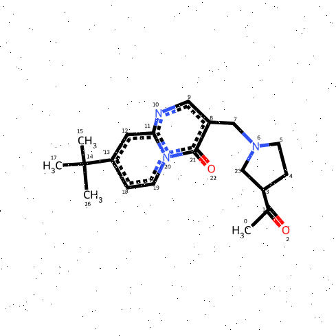 CC(=O)C1CCN(Cc2cnc3cc(C(C)(C)C)ccn3c2=O)C1